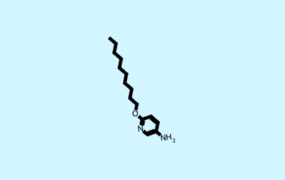 CCCCCCCCCCOc1ccc(N)cn1